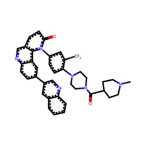 CN1CCC(C(=O)N2CCN(c3ccc(-n4c(=O)ccc5cnc6ccc(-c7cnc8ccccc8c7)cc6c54)cc3C(F)(F)F)CC2)CC1